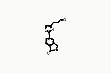 O=CCCc1csc(-c2ccc3c(c2)CNC3=O)n1